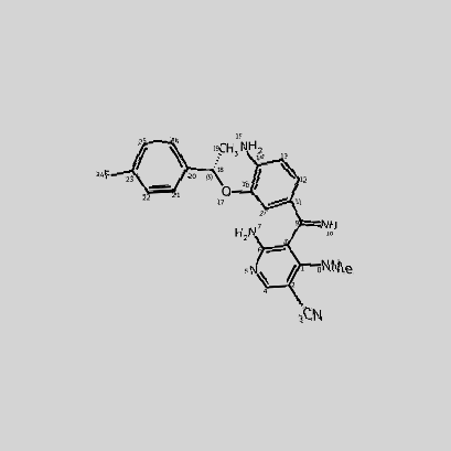 CNc1c(C#N)cnc(N)c1C(=N)c1ccc(N)c(O[C@@H](C)c2ccc(F)cc2)c1